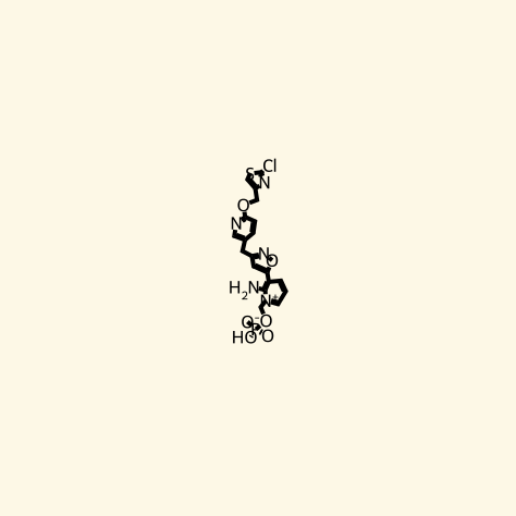 Nc1c(-c2cc(Cc3ccc(OCc4csc(Cl)n4)nc3)no2)ccc[n+]1COP(=O)([O-])O